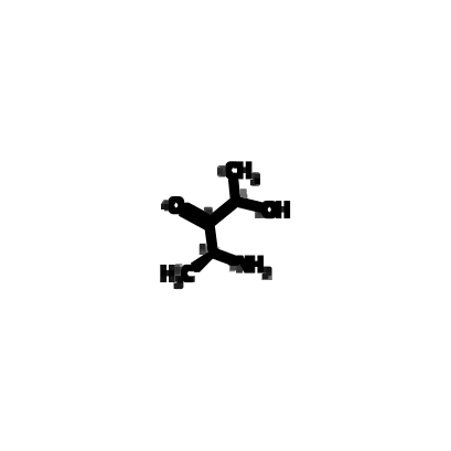 CC(O)C(=O)[C@H](C)N